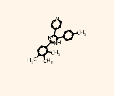 Cc1ccc(-c2[nH]c(-c3ccc(C)c(C)c3C)nc2-c2ccncc2)cc1